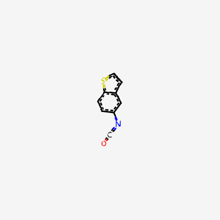 O=C=Nc1ccc2sccc2c1